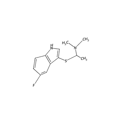 CC(Sc1c[nH]c2ccc(F)cc12)N(C)C